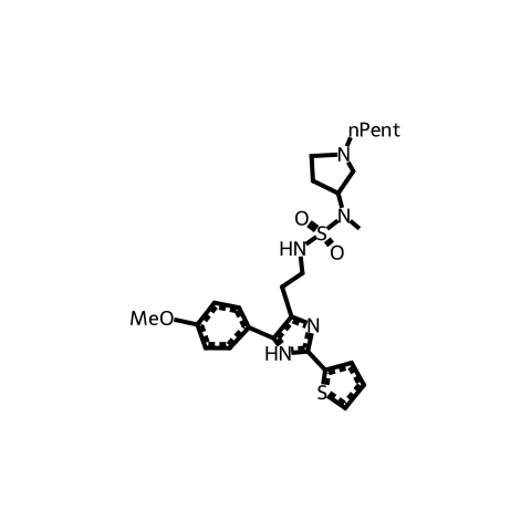 CCCCCN1CCC(N(C)S(=O)(=O)NCCc2nc(-c3cccs3)[nH]c2-c2ccc(OC)cc2)C1